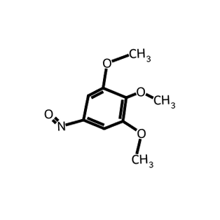 COc1cc(N=O)cc(OC)c1OC